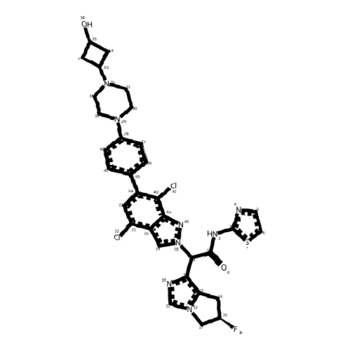 O=C(Nc1nccs1)C(c1ncn2c1C[C@@H](F)C2)n1cc2c(Cl)cc(-c3ccc(N4CCN(C5CC(O)C5)CC4)cc3)c(Cl)c2n1